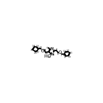 Cc1nc(CCOCc2ccccc2)nc(O)c1CCOCc1ccccc1